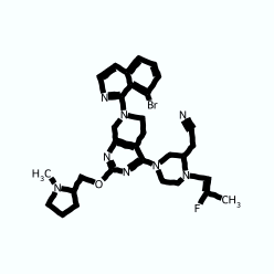 CC(F)=CN1CCN(c2nc(OCC3CCCN3C)nc3c2CCN(c2nccc4cccc(Br)c24)C3)CC1CC#N